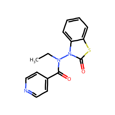 CCN(C(=O)c1ccncc1)n1c(=O)sc2ccccc21